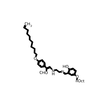 C=CCCCCCCCCCOc1ccc(C(C=O)=CNCCN=Cc2cc(OCCCCCCCC)ccc2O)cc1